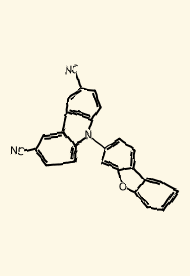 N#Cc1ccc2c(c1)c1cc(C#N)ccc1n2-c1ccc2c(c1)oc1ccccc12